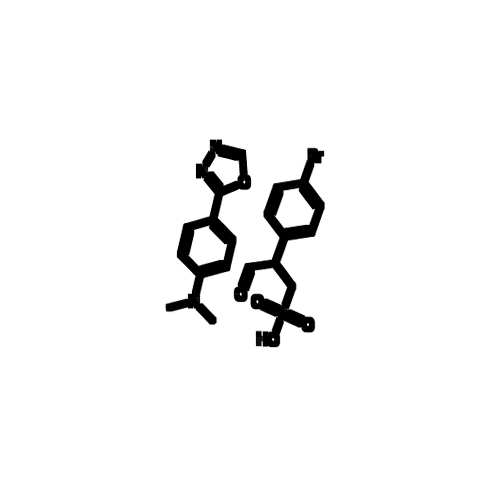 CN(C)c1ccc(-c2nnco2)cc1.O=CC(CS(=O)(=O)O)c1ccc(Br)cc1